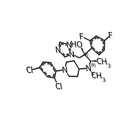 C[C@@H](N(C)C1CCN(c2ccc(Cl)cc2Cl)CC1)[C@](O)(Cn1cncn1)c1ccc(F)cc1F